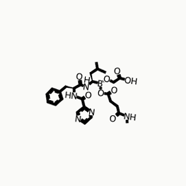 CNC(=O)CCC(=O)OB(OCC(=O)O)[C@H](CC(C)C)NC(=O)[C@H](Cc1ccccc1)NC(=O)c1cnccn1